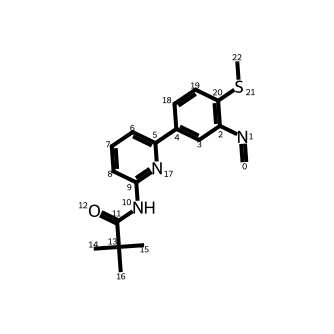 C=Nc1cc(-c2cccc(NC(=O)C(C)(C)C)n2)ccc1SC